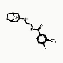 O=C(NCCNC1CC2CCC(C1)N2)c1ccc(F)c(C(F)(F)F)c1